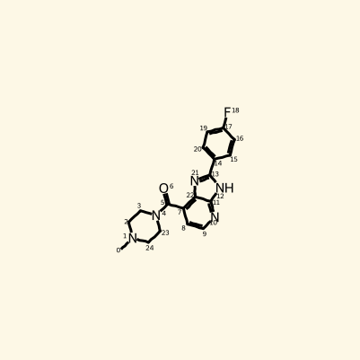 CN1CCN(C(=O)c2ccnc3[nH]c(-c4ccc(F)cc4)nc23)CC1